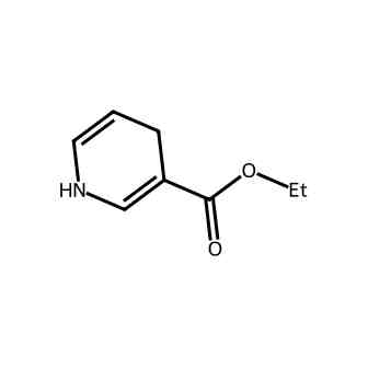 CCOC(=O)C1=CNC=CC1